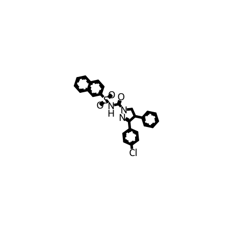 O=C(NS(=O)(=O)c1ccc2ccccc2c1)N1CC(c2ccccc2)C(c2ccc(Cl)cc2)=N1